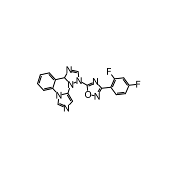 Fc1ccc(-c2noc(N3C=NC4c5ccccc5-n5cncc5N43)n2)c(F)c1